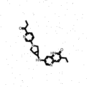 CCC(=O)c1ccc(N2CC3C(C2)C3Nc2cnc3cc(CC)c(=O)[nH]c3c2)cn1